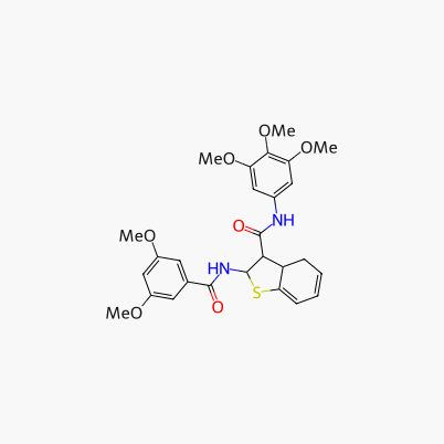 COc1cc(OC)cc(C(=O)NC2SC3=CC=CCC3C2C(=O)Nc2cc(OC)c(OC)c(OC)c2)c1